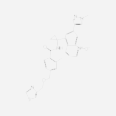 Cc1cc(COCc2cscn2)ccc1C(=O)NC1(c2cc(-c3cnn(C)c3)cc3c2ccc[n+]3[O-])CC1